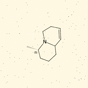 C[C@H]1CCCC2C=CCCN21